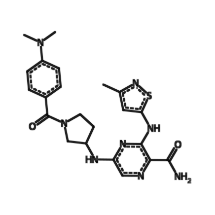 Cc1cc(Nc2nc(NC3CCN(C(=O)c4ccc(N(C)C)cc4)C3)cnc2C(N)=O)sn1